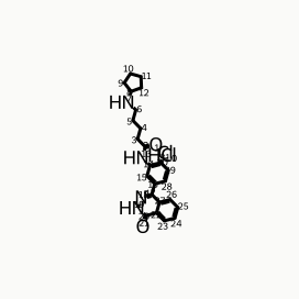 Cl.O=C(CCCCNC1CCCC1)Nc1cc(-c2n[nH]c(=O)c3ccccc23)ccc1Cl